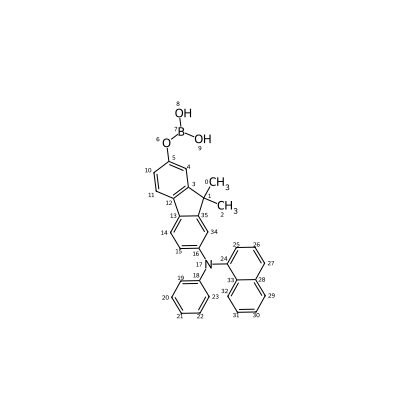 CC1(C)c2cc(OB(O)O)ccc2-c2ccc(N(c3ccccc3)c3cccc4ccccc34)cc21